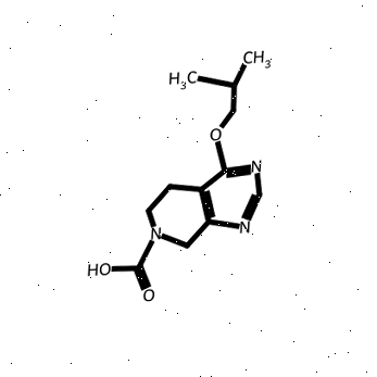 CC(C)COc1ncnc2c1CCN(C(=O)O)C2